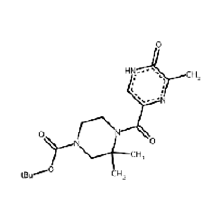 Cc1nc(C(=O)N2CCN(C(=O)OC(C)(C)C)CC2(C)C)c[nH]c1=O